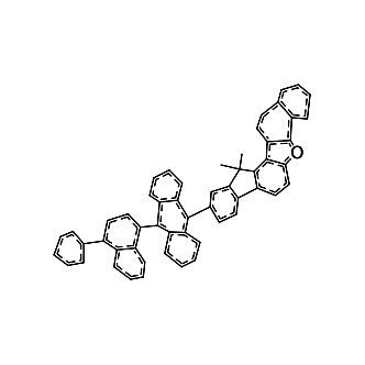 CC1(C)c2cc(-c3c4ccccc4c(-c4ccc(-c5ccccc5)c5ccccc45)c4ccccc34)ccc2-c2ccc3oc4c5ccccc5ccc4c3c21